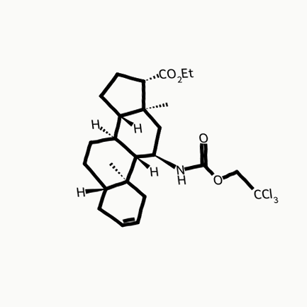 CCOC(=O)[C@H]1CC[C@H]2[C@@H]3CC[C@H]4CC=CC[C@]4(C)[C@H]3[C@H](NC(=O)OCC(Cl)(Cl)Cl)C[C@]12C